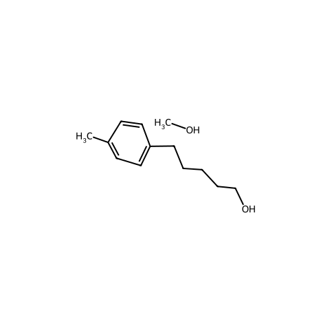 CO.Cc1ccc(CCCCCO)cc1